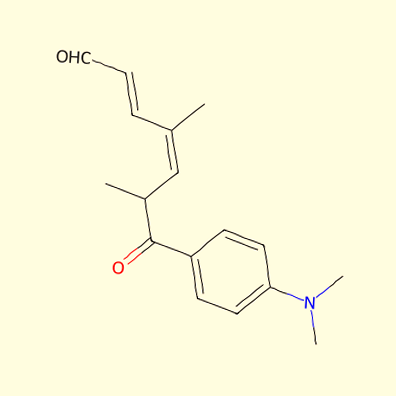 CC(C=CC=O)=CC(C)C(=O)c1ccc(N(C)C)cc1